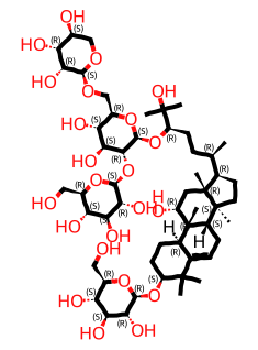 C[C@H](CC[C@@H](O[C@@H]1O[C@H](CO[C@@H]2OC[C@H](O)[C@@H](O)[C@H]2O)[C@@H](O)[C@H](O)[C@H]1O[C@@H]1O[C@H](CO)[C@@H](O)[C@H](O)[C@H]1O)C(C)(C)O)[C@H]1CC[C@@]2(C)[C@@H]3CC=C4[C@@H](CC[C@H](O[C@@H]5O[C@H](CO)[C@@H](O)[C@H](O)[C@H]5O)C4(C)C)[C@]3(C)[C@H](O)C[C@]12C